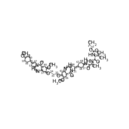 C=CCOC(=O)N[C@H](C(=O)N[C@@H](C)C(=O)Nc1ccc(C2=CN3C(=O)c4cc(OC)c(OCCCOc5cc6c(cc5OC)C(=O)N5C=C(c7ccc(OC)cc7)C[C@H]5C=N6)cc4N=C[C@@H]3C2)cc1)C(C)C